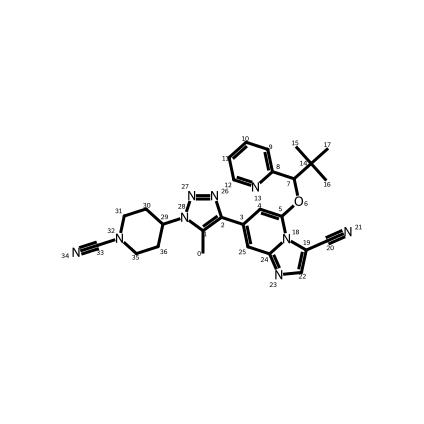 Cc1c(-c2cc(OC(c3ccccn3)C(C)(C)C)n3c(C#N)cnc3c2)nnn1C1CCN(C#N)CC1